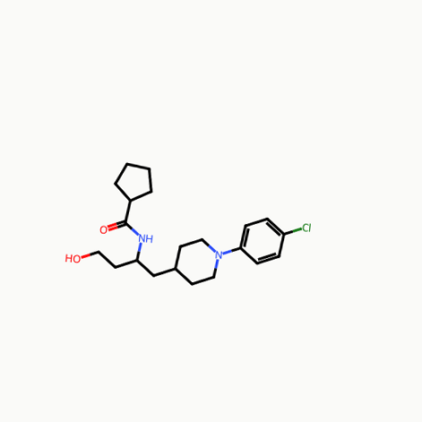 O=C(NC(CCO)CC1CCN(c2ccc(Cl)cc2)CC1)C1CCCC1